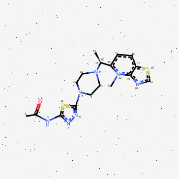 CC(=O)Nc1nnc(N2CCN([C@@H](C)c3ccc4scnc4[n+]3C)CC2)s1